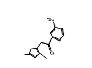 CC1=CC(C)=C(CC(=O)c2cccc(C(C)(C)C)c2)C1